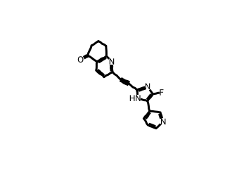 O=C1CCCc2nc(C#Cc3nc(F)c(-c4cccnc4)[nH]3)ccc21